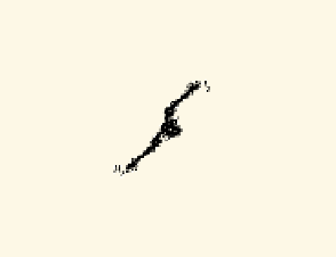 C=CC(=O)OCCCCCCOc1ccc(CNc2ccc(NCc3ccc(OCCCCCCOC(=O)C=C)cc3)c3c2C(=O)c2ccccc2C3=O)cc1